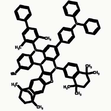 Cc1cc(-c2ccccc2)cc(C)c1N1c2ccc(C(C)(C)C)cc2B2c3c(cc(-c4ccc(N(c5ccccc5)c5ccccc5)cc4)cc31)N(c1ccc3c(c1)C(C)(C)CCC3(C)C)c1oc3cc4c(cc3c12)C1(C)CCC4(C)CC1